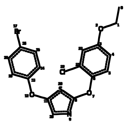 CCOc1ccc(Oc2ncc(Oc3ccc(Br)cc3)s2)c(Cl)c1